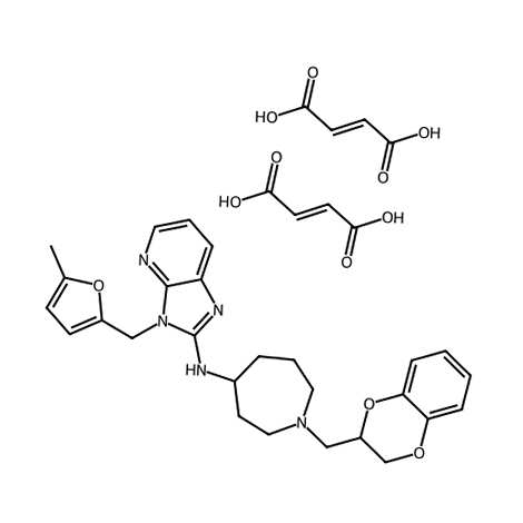 Cc1ccc(Cn2c(NC3CCCN(CC4COc5ccccc5O4)CC3)nc3cccnc32)o1.O=C(O)C=CC(=O)O.O=C(O)C=CC(=O)O